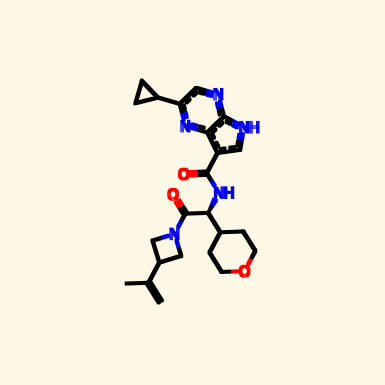 C=C(C)C1CN(C(=O)[C@@H](NC(=O)c2c[nH]c3ncc(C4CC4)nc23)C2CCOCC2)C1